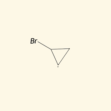 BrC1[CH]C1